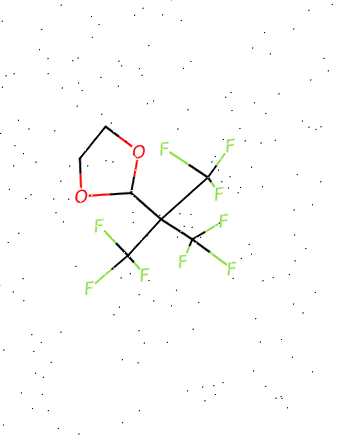 FC(F)(F)C(C1OCCO1)(C(F)(F)F)C(F)(F)F